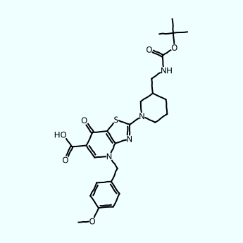 COc1ccc(Cn2cc(C(=O)O)c(=O)c3sc(N4CCCC(CNC(=O)OC(C)(C)C)C4)nc32)cc1